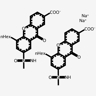 CCCCCCc1cc(S(C)(=N)=O)cc2c(=O)c3cc(C(=O)[O-])ccc3oc12.CCCCCCc1cc(S(C)(=N)=O)cc2c(=O)c3cc(C(=O)[O-])ccc3oc12.[Na+].[Na+]